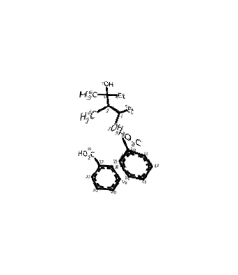 CCC(O)C(C)C(C)(O)CC.O=C(O)c1ccccc1.O=C(O)c1ccccc1